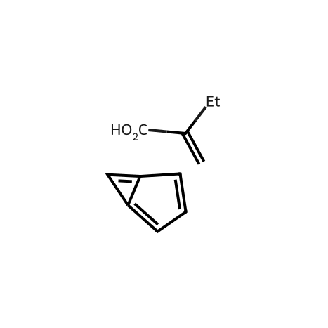 C=C(CC)C(=O)O.c1cc2cc-2c1